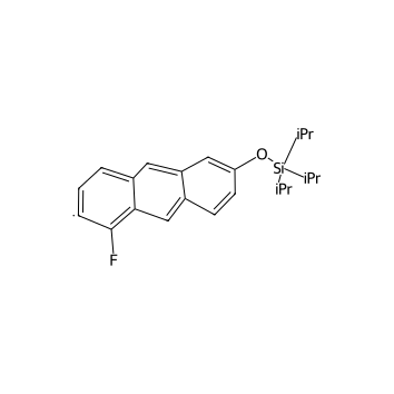 CC(C)[Si](Oc1ccc2cc3c(F)[c]ccc3cc2c1)(C(C)C)C(C)C